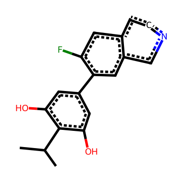 CC(C)c1c(O)cc(-c2cc3cnccc3cc2F)cc1O